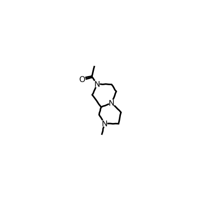 CC(=O)N1CCN2CCN(C)CC2C1